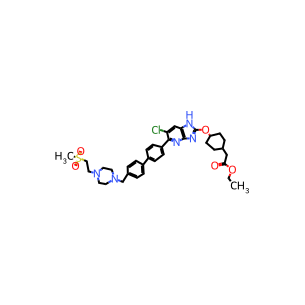 CCOC(=O)CC1CCC(Oc2nc3nc(-c4ccc(-c5ccc(CN6CCN(CCS(C)(=O)=O)CC6)cc5)cc4)c(Cl)cc3[nH]2)CC1